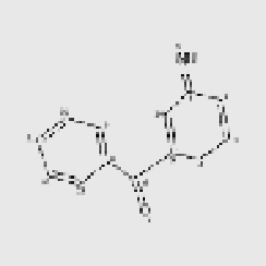 N=C1C=CCC(C(=O)c2ccccc2)=C1